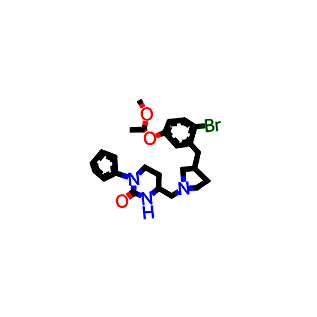 COC(C)Oc1ccc(Br)c(CC2CCN(CC3CCN(c4ccccc4)C(=O)N3)C2)c1